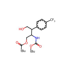 CC(C)(C)OC(=O)NC(COC(=O)C(C)(C)C)C(CO)c1ccc(C(F)(F)F)cc1